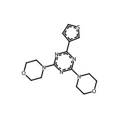 c1cc(-c2nc(N3CCOCC3)nc(N3CCOCC3)n2)cs1